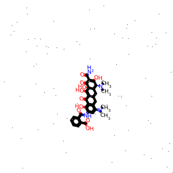 CN(C)c1cc(NC(=O)c2ccccc2C(=O)O)c(O)c2c1CC1CC3[C@H](N(C)C)C(O)=C(C(N)=O)C(=O)[C@@]3(O)C(O)=C1C2=O